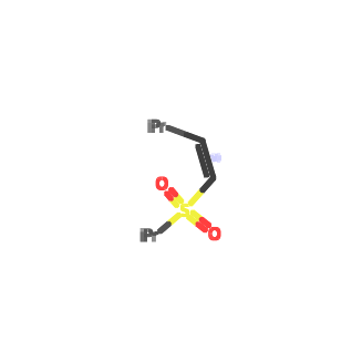 CC(C)/C=C\S(=O)(=O)C(C)C